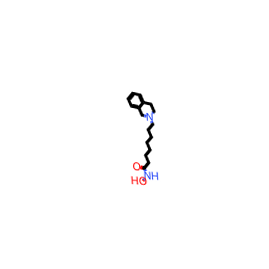 O=C(CCCCCCCN1CCc2ccccc2C1)NO